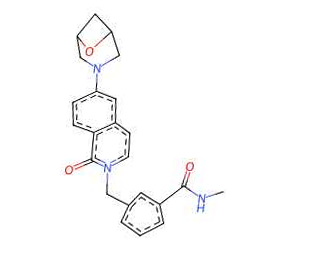 CNC(=O)c1cccc(Cn2ccc3cc(N4CC5CC(C4)O5)ccc3c2=O)c1